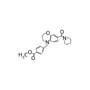 COC(=O)c1ccc(CN2CCCOc3cc(C(=O)N4CCCCC4)ccc32)cc1